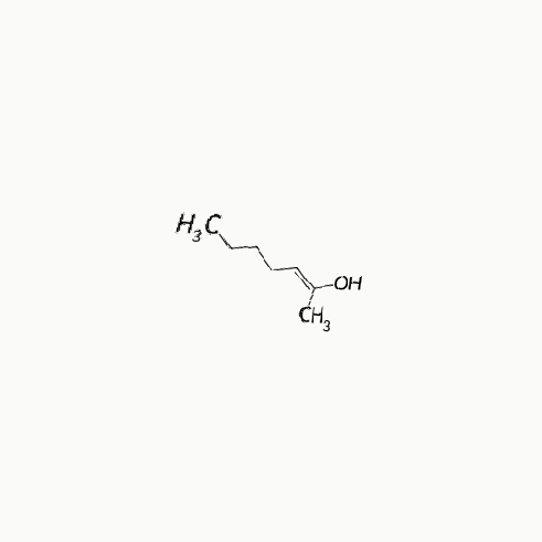 CCCC/C=C(\C)O